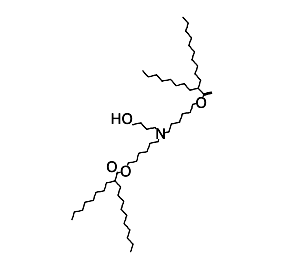 C=C(OCCCCCCN(CCCCO)CCCCCCOC(=O)C(CCCCCCCC)CCCCCCCCCC)C(CCCCCCCC)CCCCCCCCCC